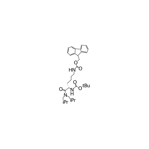 CC(C)CN(CC(C)C)C(=O)[C@H](CCCCNC(=O)OCC1c2ccccc2-c2ccccc21)NC(=O)OC(C)(C)C